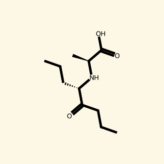 CCCC(=O)[C@H](CCC)N[C@@H](C)C(=O)O